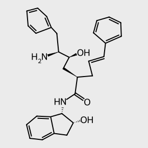 N[C@@H](Cc1ccccc1)[C@@H](O)C[C@@H](CC=Cc1ccccc1)C(=O)N[C@H]1c2ccccc2C[C@H]1O